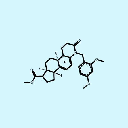 COC(=O)C1CC[C@H]2C3=CC=C4N(Cc5ccc(OC)cc5OC)C(=O)CC[C@]4(C)[C@@H]3CC[C@]12C